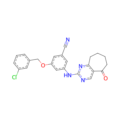 N#Cc1cc(Nc2ncc3c(n2)CCCCC3=O)cc(OCc2cccc(Cl)c2)c1